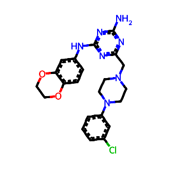 Nc1nc(CN2CCN(c3cccc(Cl)c3)CC2)nc(Nc2ccc3c(c2)OCCO3)n1